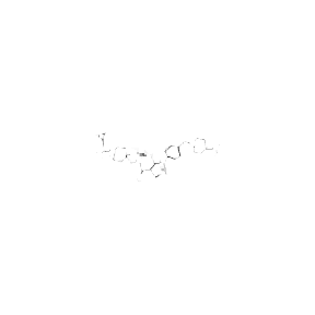 CN(C)C1CCN(Cc2ccc(-n3ncc4c(=O)n(CC5(O)CCN(C(=O)C6CC6)CC5)cnc43)cc2)CC1